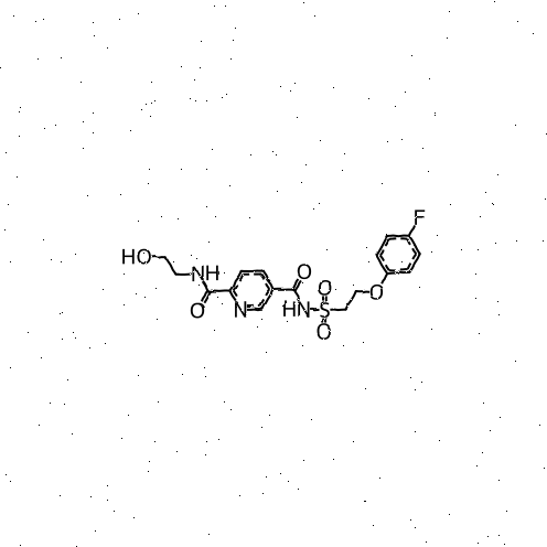 O=C(NS(=O)(=O)CCOc1ccc(F)cc1)c1ccc(C(=O)NCCO)nc1